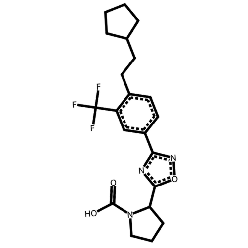 O=C(O)N1CCCC1c1nc(-c2ccc(CCC3CCCC3)c(C(F)(F)F)c2)no1